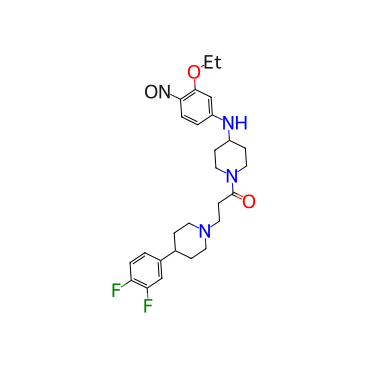 CCOc1cc(NC2CCN(C(=O)CCN3CCC(c4ccc(F)c(F)c4)CC3)CC2)ccc1N=O